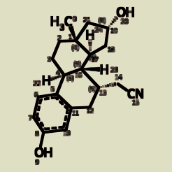 C[C@]12CC[C@@H]3c4ccc(O)cc4C[C@@H](CC#N)[C@H]3[C@@H]1C[C@@H](O)C2